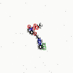 CC(C)C(C)(C)OC(=O)OCN1C(=O)CCc2ccc(OCCCCN3CCN(c4cccc(Cl)c4Cl)CC3)cc21